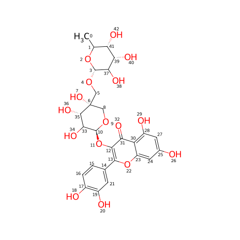 CC1O[C@@H](OC[C@@]2(O)CO[C@@H](Oc3c(-c4ccc(O)c(O)c4)oc4cc(O)cc(O)c4c3=O)C(O)[C@@H]2O)C(O)[C@@H](O)[C@H]1O